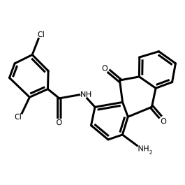 Nc1ccc(NC(=O)c2cc(Cl)ccc2Cl)c2c1C(=O)c1ccccc1C2=O